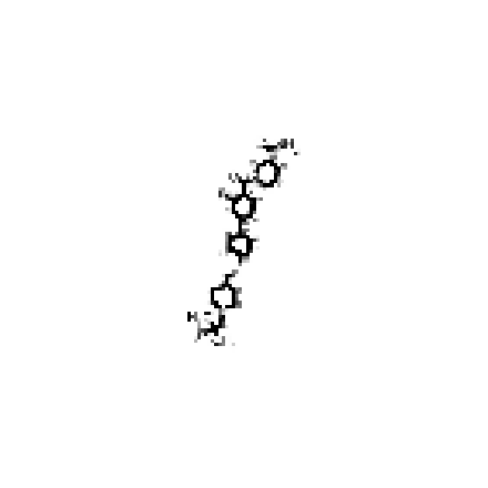 CC(C)(F)CN1CCC(COc2ccc(-c3ccc(C(=O)N4CCC[C@@H](C(N)=O)C4)c(F)c3)cc2)CC1